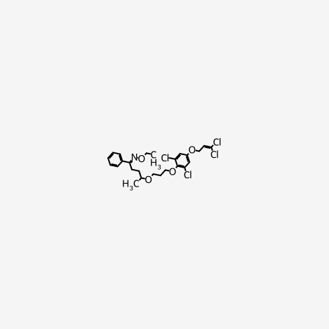 CCON=C(CCC(C)OCCCOc1c(Cl)cc(OCC=C(Cl)Cl)cc1Cl)c1ccccc1